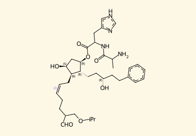 CC(C)OCC(C=O)CC/C=C\C[C@@H]1[C@@H](CC[C@@H](O)CCc2ccccc2)[C@H](OC(=O)C(Cc2c[nH]cn2)NC(=O)C(C)N)C[C@@H]1O